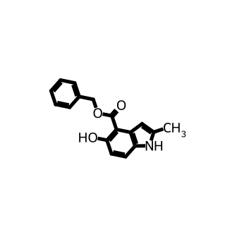 Cc1cc2c(C(=O)OCc3ccccc3)c(O)ccc2[nH]1